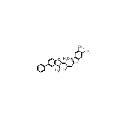 CCC(=Cc1sc2cc(C)c(C)cc2[n+]1C)C=C1Oc2ccc(-c3ccccc3)cc2N1C